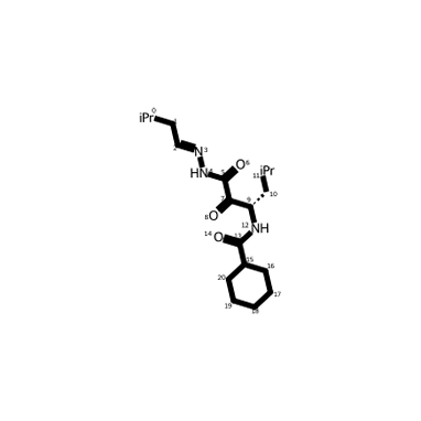 CC(C)C/C=N/NC(=O)C(=O)[C@H](CC(C)C)NC(=O)C1CCCCC1